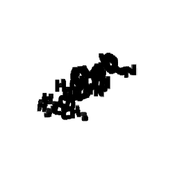 C[C@@H]1CN(c2ncnc3c2c(-c2ccccn2)cn3-c2cc(C#N)ccn2)CCN1C(=O)OC(C)(C)C